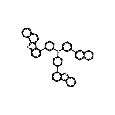 c1cc(-c2ccc3ccccc3c2)cc(N(c2ccc(-c3cccc4c3sc3ccccc34)cc2)c2cccc(-c3cccc4oc5c6ccccc6ccc5c34)c2)c1